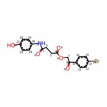 O=C(CCC(=O)OCC(=O)c1ccc(Br)cc1)Nc1ccc(O)cc1